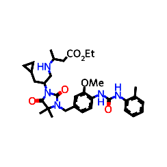 CCOC(=O)CC(C)NCC(CC1CC1)N1C(=O)N(Cc2ccc(NC(=O)Nc3ccccc3C)c(OC)c2)C(C)(C)C1=O